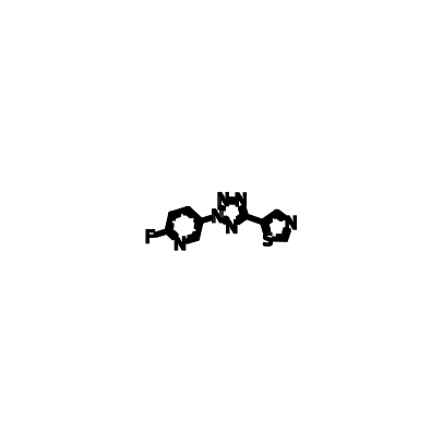 Fc1ccc(-n2nnc(-c3cncs3)n2)cn1